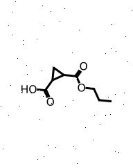 CCCOC(=O)C1CC1C(=O)O